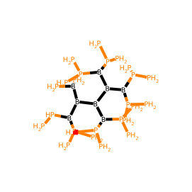 PPB(B(B(P)P)B(B(B(P(P)P)P(P)P)B(P(P)P)P(P)P)B(P(P)P)P(P)P)P(P)P